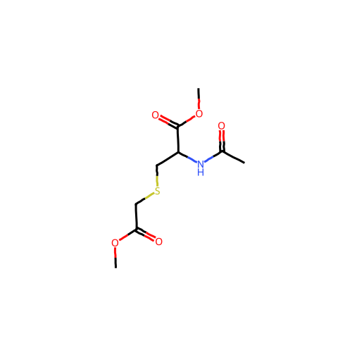 COC(=O)CSCC(NC(C)=O)C(=O)OC